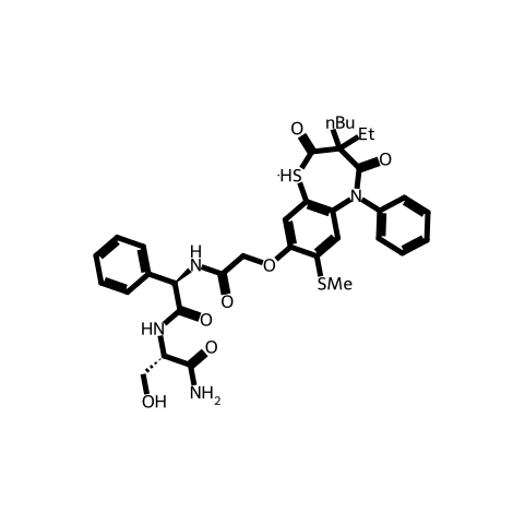 CCCCC1(CC)C(=O)[SH]c2cc(OCC(=O)N[C@@H](C(=O)N[C@@H](CO)C(N)=O)c3ccccc3)c(SC)cc2N(c2ccccc2)C1=O